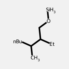 CCCCC(C)C(CC)CO[SiH3]